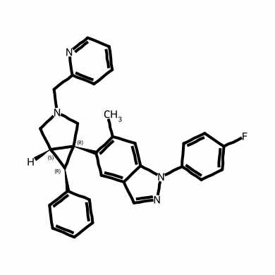 Cc1cc2c(cnn2-c2ccc(F)cc2)cc1[C@]12CN(Cc3ccccn3)C[C@H]1[C@@H]2c1ccccc1